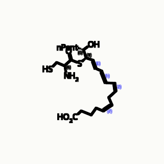 CCCCC[C@H](O)[C@@H](/C=C/C=C/C=C\C/C=C\CCCC(=O)O)SC(=O)[C@@H](N)CS